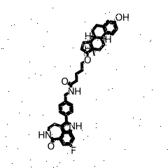 C[C@]12CC[C@@H]3c4ccc(O)cc4CC[C@H]3[C@@H]1CC[C@@H]2OCCCCC(=O)NCc1ccc(-c2[nH]c3cc(F)cc4c3c2CCNC4=O)cc1